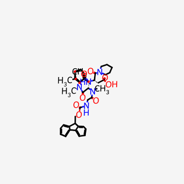 CC(C)[C@@H](C(=O)N[C@@H](CC(=O)O)C(=O)N1CCCCC1)N(C)C(=O)[C@H](Cc1ccccc1)N(C)C(=O)CNC(=O)OCC1c2ccccc2-c2ccccc21